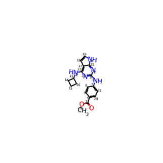 COC(=O)c1ccc(Nc2nc(NC3CCC3)c3cc[nH]c3n2)cc1